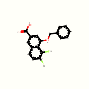 O=C(O)c1cc(OCc2ccccc2)c2c(F)c(F)ccc2c1